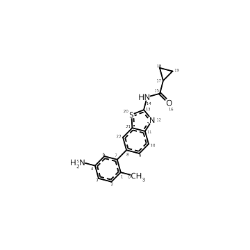 Cc1ccc(N)cc1-c1ccc2nc(NC(=O)C3CC3)sc2c1